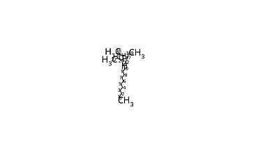 CCCCCCCCCCCCC[PH](CCC)(CCC)CCC